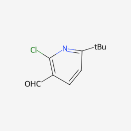 CC(C)(C)c1ccc(C=O)c(Cl)n1